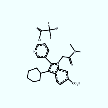 CN(C)C(=O)Cn1c(-c2cccnc2)c(C2CCCCC2)c2ccc(C(=O)O)cc21.O=C(O)C(F)(F)F